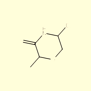 CCC1COC(C)C(=S)N1